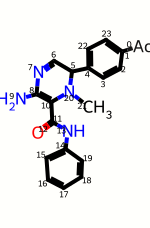 CC(=O)c1ccc(C2C=NC(N)=C(C(=O)Nc3ccccc3)N2C)cc1